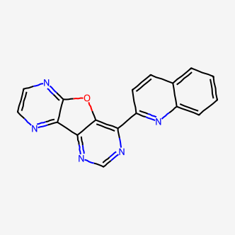 c1ccc2nc(-c3ncnc4c3oc3nccnc34)ccc2c1